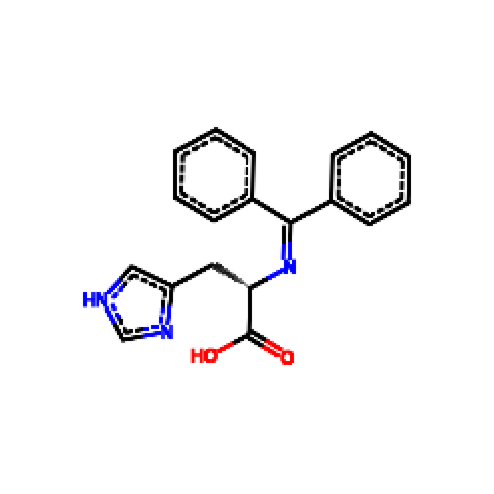 O=C(O)[C@H](Cc1c[nH]cn1)N=C(c1ccccc1)c1ccccc1